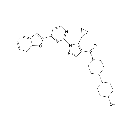 O=C(c1cnn(-c2nccc(-c3cc4ccccc4o3)n2)c1C1CC1)N1CCC(N2CCC(O)CC2)CC1